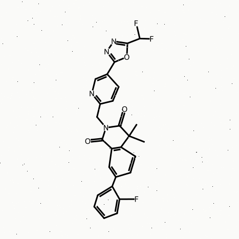 CC1(C)C(=O)N(Cc2ccc(-c3nnc(C(F)F)o3)cn2)C(=O)c2cc(-c3ccccc3F)ccc21